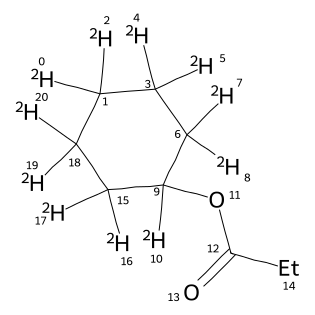 [2H]C1([2H])C([2H])([2H])C([2H])([2H])C([2H])(OC(=O)CC)C([2H])([2H])C1([2H])[2H]